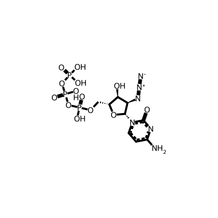 [N-]=[N+]=N[C@@H]1[C@H](O)[C@@H](COP(=O)(O)OP(=O)(O)OP(=O)(O)O)O[C@H]1n1ccc(N)nc1=O